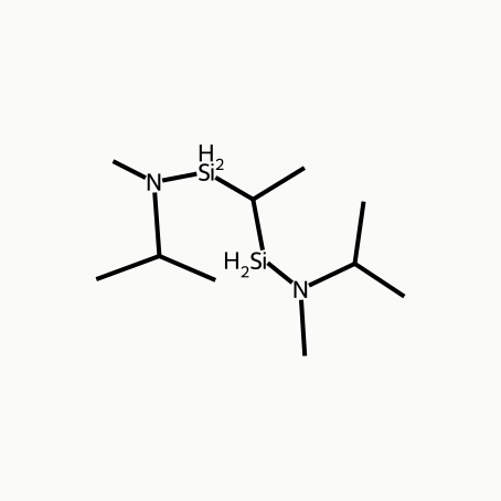 CC([SiH2]N(C)C(C)C)[SiH2]N(C)C(C)C